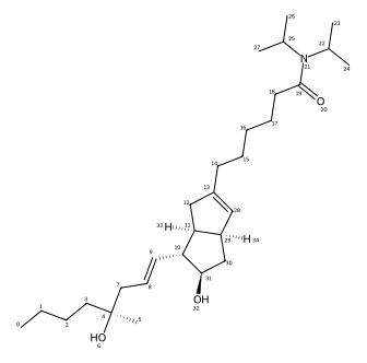 CCCC[C@](C)(O)C/C=C/[C@@H]1[C@H]2CC(CCCCCC(=O)N(C(C)C)C(C)C)=C[C@H]2C[C@H]1O